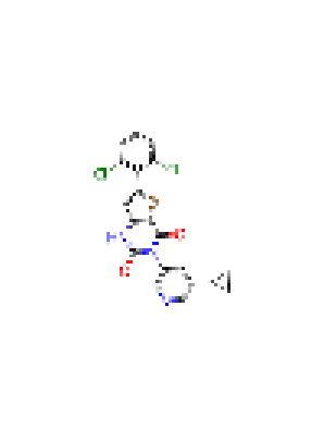 O=c1[nH]c2cc(-c3c(Cl)cccc3Cl)sc2c(=O)n1-c1cncc(C2CC2)c1